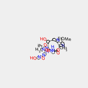 CCn1c(-c2cnccc2COC)c2c3cc(ccc31)-c1cc(O)cc(c1)C[C@H](NC(=O)C(C(C)C)N(C)C(=O)[C@H]1CCN(C(=O)CN3CC[C@H](O)C3)C1)C(=O)N1CCC[C@H](N1)C(=O)OCC(C)(C)C2